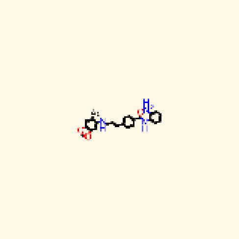 CC(=O)c1cc2c(cc1NC/C=C/c1ccc(C(=O)Nc3ccccc3N)cc1)OCO2